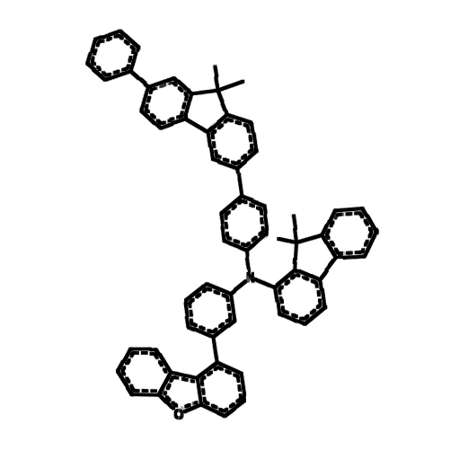 CC1(C)c2ccc(-c3ccc(N(c4cccc(-c5cccc6oc7ccccc7c56)c4)c4cccc5c4C(C)(C)c4ccccc4-5)cc3)cc2-c2ccc(-c3ccccc3)cc21